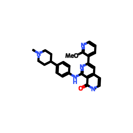 COc1ncccc1-c1cc2c(c(Nc3ccc(C4CCN(C)CC4)cc3)n1)C(=O)[N]C=C2